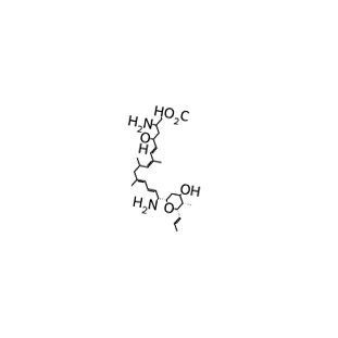 C/C=C/[C@@H]1O[C@H](C(N)/C=C/C=C(\C)CC(C)/C=C(C)\C=C\C(O)CC(N)CC(=O)O)C[C@@H](O)[C@@H]1C